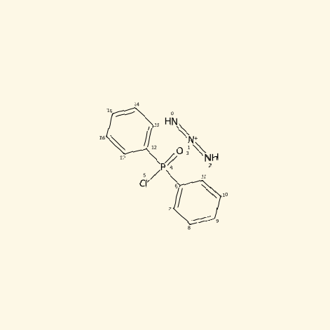 N=[N+]=N.O=P(Cl)(c1ccccc1)c1ccccc1